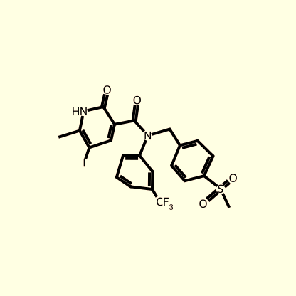 Cc1[nH]c(=O)c(C(=O)N(Cc2ccc(S(C)(=O)=O)cc2)c2cccc(C(F)(F)F)c2)cc1I